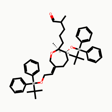 CC(C=O)CCC[C@]1(C)OCC(=CCO[Si](c2ccccc2)(c2ccccc2)C(C)(C)C)CC[C@H]1O[Si](c1ccccc1)(c1ccccc1)C(C)(C)C